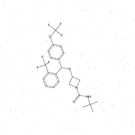 CC(C)(C)NC(=O)N1CC(OC(c2ccc(OC(F)(F)F)cc2)c2ccccc2C(F)(F)F)C1